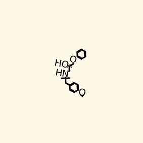 COc1ccc(CC(C)(C)NC[C@@H](O)COc2ccccc2)cc1